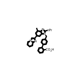 CCCc1nc2c(C)cc(-c3cn4ccccc4n3)cc2n1Cc1ccc(-c2ccccc2C(=O)O)cc1